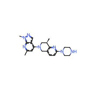 Cc1cc(N2Cc3ccc(N4CCNCC4)nc3[C@H](C)C2)c2cnn(C)c2n1